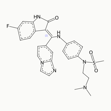 CN(C)CCN(c1ccc(N/C(=C2\C(=O)Nc3cc(F)ccc32)c2ccn3ccnc3c2)cc1)S(C)(=O)=O